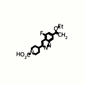 C=C(OCC)c1cc(F)c2cc(C3CCN(C(=O)O)CC3)nnc2c1